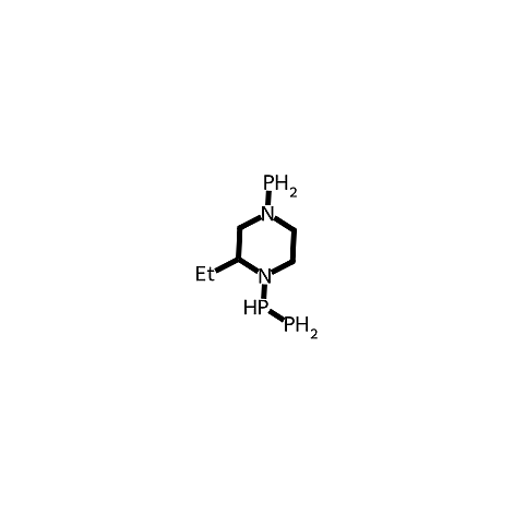 CCC1CN(P)CCN1PP